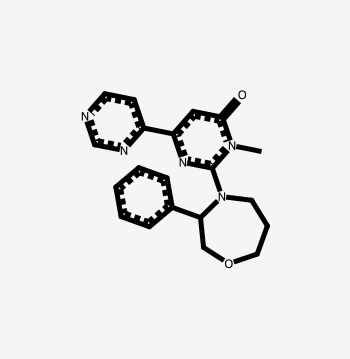 Cn1c(N2CCCOCC2c2ccccc2)nc(-c2ccncn2)cc1=O